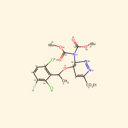 CCOC(=O)c1cc(OC(C)c2c(Cl)ccc(F)c2Cl)c(N(C(=O)OC(C)(C)C)C(=O)OC(C)(C)C)nn1